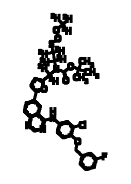 [2H]C([2H])([2H])OOSC([2H])([2H])C([2H])([2H])N(C(=O)OC(C)(C)C)C([2H])([2H])c1ccc(-c2ccc3ncnc(Nc4ccc(OCc5cccc(F)c5)c(Cl)c4)c3c2)o1